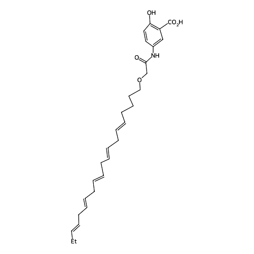 CCC=CCC=CCC=CCC=CCC=CCCCCOCC(=O)Nc1ccc(O)c(C(=O)O)c1